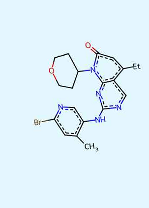 CCc1cc(=O)n(C2CCOCC2)c2nc(Nc3cnc(Br)cc3C)ncc12